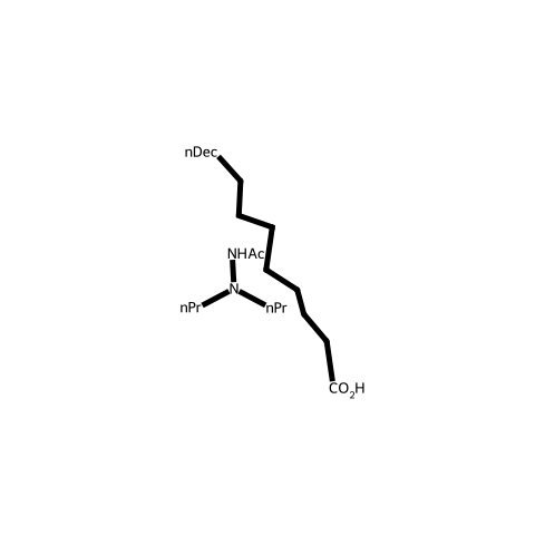 CCCCCCCCCCCCCCCCCC(=O)O.CCCN(CCC)NC(C)=O